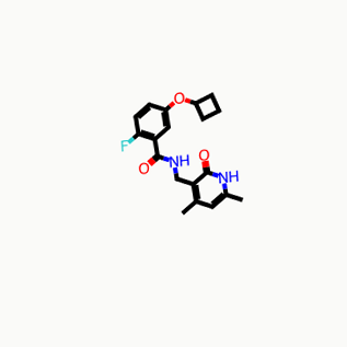 Cc1cc(C)c(CNC(=O)c2cc(OC3CCC3)ccc2F)c(=O)[nH]1